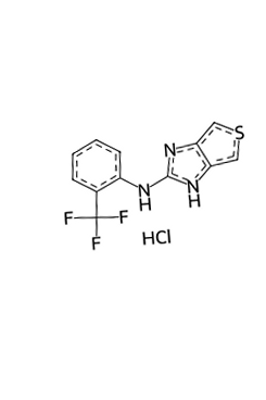 Cl.FC(F)(F)c1ccccc1Nc1nc2cscc2[nH]1